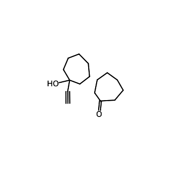 C#CC1(O)CCCCCC1.O=C1CCCCCC1